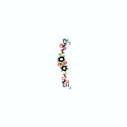 C=CC(=O)OCCSc1ccc(S(=O)(=O)c2ccc(SCCOC(=O)C=C)cc2)cc1